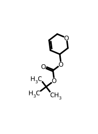 CC(C)(C)OC(=O)OC1C=CCOC1